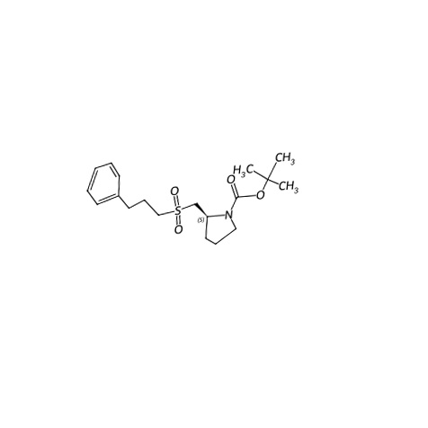 CC(C)(C)OC(=O)N1CCC[C@H]1CS(=O)(=O)CCCc1ccccc1